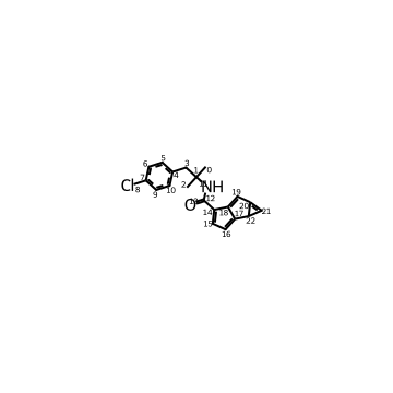 CC(C)(Cc1ccc(Cl)cc1)NC(=O)C1=CC=C2C1=CC1=CC12